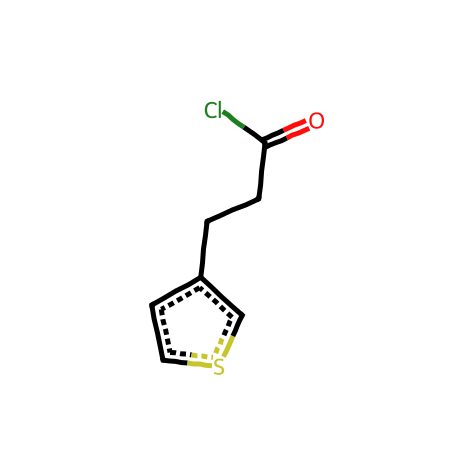 O=C(Cl)CCc1ccsc1